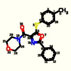 Cc1ccc(Sc2oc(-c3ccccc3)nc2C(=O)N2CCOCC2)cc1